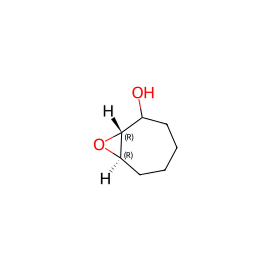 OC1CCCC[C@H]2O[C@H]12